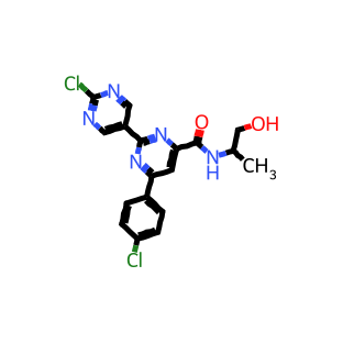 CC(CO)NC(=O)c1cc(-c2ccc(Cl)cc2)nc(-c2cnc(Cl)nc2)n1